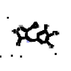 O=C1NN=C(C2CC2)/C1=C\c1cc(Br)c(O)c(Br)c1